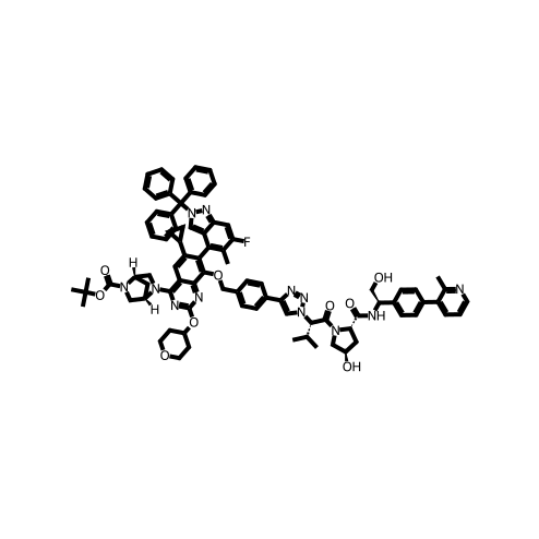 Cc1ncccc1-c1ccc([C@H](CO)NC(=O)[C@@H]2C[C@@H](O)CN2C(=O)[C@H](C(C)C)n2cc(-c3ccc(COc4c(-c5c(C)c(F)cc6nn(C(c7ccccc7)(c7ccccc7)c7ccccc7)cc56)c(C5CC5)cc5c(N6C[C@@H]7C[C@H]6CN7C(=O)OC(C)(C)C)nc(OC6CCOCC6)nc45)cc3)nn2)cc1